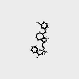 C[C@H](NS(=O)(=O)/C=C/c1n[nH]c2c1CCCCC2Cc1cccc(F)c1)c1ccccc1